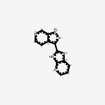 c1cnc2[nH]c(-c3n[nH]c4cnccc34)nc2c1